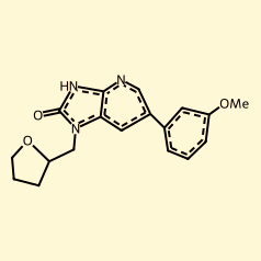 COc1cccc(-c2cnc3[nH]c(=O)n(CC4CCCO4)c3c2)c1